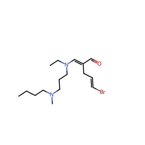 CCCCN(C)CCCN(/C=C(/C=O)C/C=C/Br)CC